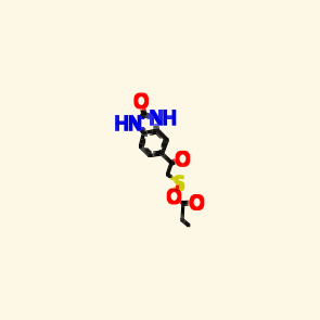 CCC(=O)OSCC(=O)c1ccc2[nH]c(=O)[nH]c2c1